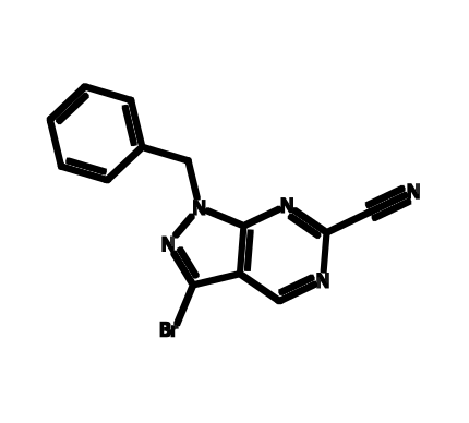 N#Cc1ncc2c(Br)nn(Cc3ccccc3)c2n1